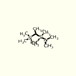 CC([Si](C)(C)C)[Si](C)(C)N(C)C